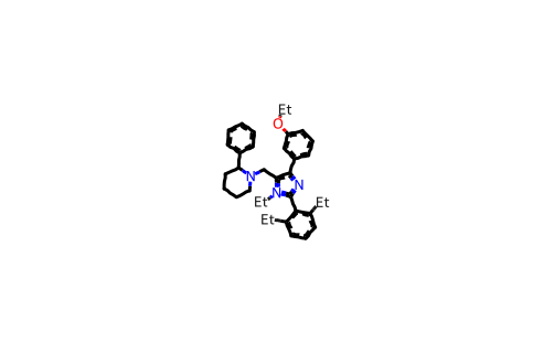 CCOc1cccc(-c2nc(-c3c(CC)cccc3CC)n(CC)c2CN2CCCCC2c2ccccc2)c1